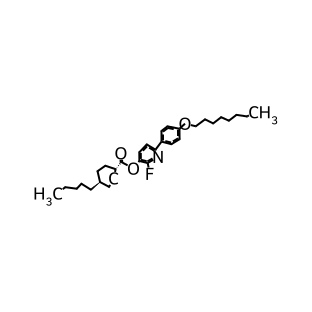 CCCCCCCCOc1ccc(-c2ccc(OC(=O)[C@H]3CC[C@H](CCCCC)CC3)c(F)n2)cc1